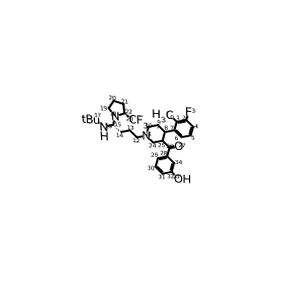 Cc1c(F)cccc1C1[CH]CN(CCC[C@H](NC(C)(C)C)N2CCC[C@H]2C(F)(F)F)CC1C(=O)c1cccc(O)c1